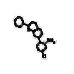 Nc1cc(Cl)ccc1-c1ccc2ccc(-c3ccccc3)nc2c1